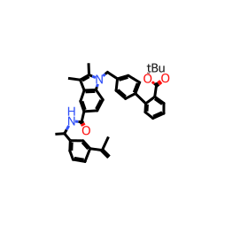 C=C(C)c1cccc(C(C)NC(=O)c2ccc3c(c2)c(C)c(C)n3Cc2ccc(-c3ccccc3C(=O)OC(C)(C)C)cc2)c1